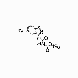 CC(C)(C)OC(=O)NC(=O)Oc1nsc2ccc(Br)cc12